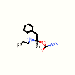 CC[C@](Cc1ccccc1)(NCCC(C)C)OC(N)=O